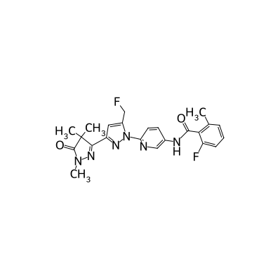 Cc1cccc(F)c1C(=O)Nc1ccc(-n2nc(C3=NN(C)C(=O)C3(C)C)cc2CF)nc1